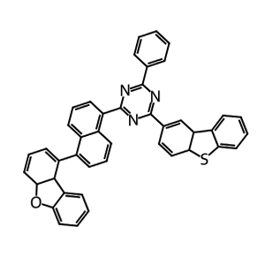 C1=CC2Oc3ccccc3C2C(c2cccc3c(-c4nc(C5=CC6c7ccccc7SC6C=C5)nc(-c5ccccc5)n4)cccc23)=C1